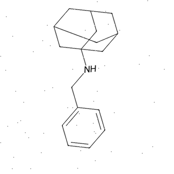 c1ccc(CNC23CC4CC(CC(C4)C2)C3)cc1